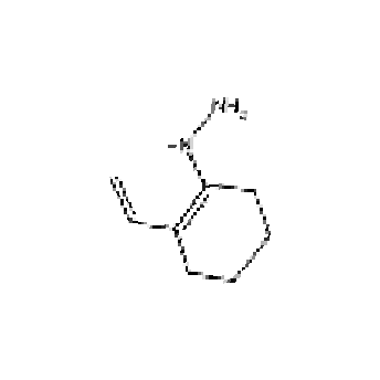 C=CC1=C(NN)CCCC1